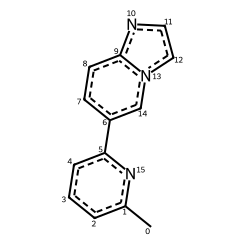 Cc1cccc(-c2ccc3nccn3c2)n1